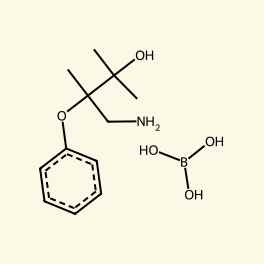 CC(C)(O)C(C)(CN)Oc1ccccc1.OB(O)O